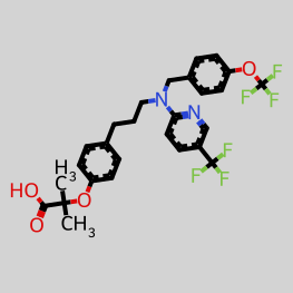 CC(C)(Oc1ccc(CCCN(Cc2ccc(OC(F)(F)F)cc2)c2ccc(C(F)(F)F)cn2)cc1)C(=O)O